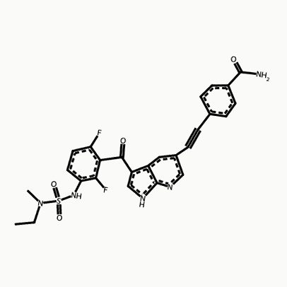 CCN(C)S(=O)(=O)Nc1ccc(F)c(C(=O)c2c[nH]c3ncc(C#Cc4ccc(C(N)=O)cc4)cc23)c1F